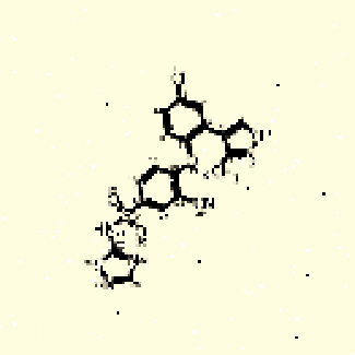 Cc1nocc1-c1cc(Cl)ccc1Oc1ccc(S(=O)(=O)Nc2ncns2)cc1C#N